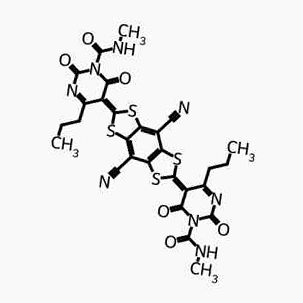 CCCC1=NC(=O)N(C(=O)NC)C(=O)C1=C1Sc2c(C#N)c3c(c(C#N)c2S1)SC(=C1C(=O)N(C(=O)NC)C(=O)N=C1CCC)S3